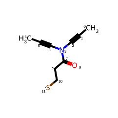 CC#CN(C#CC)C(=O)CC[S]